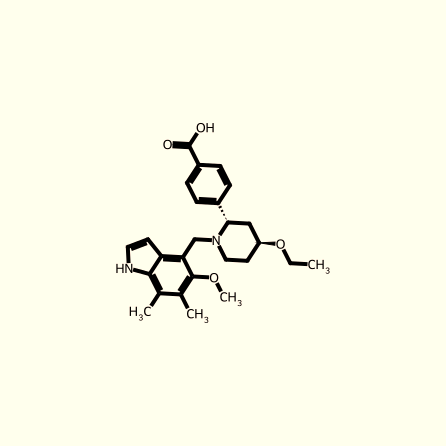 CCO[C@H]1CCN(Cc2c(OC)c(C)c(C)c3[nH]ccc23)[C@H](c2ccc(C(=O)O)cc2)C1